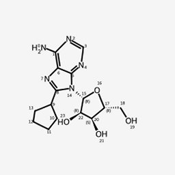 Nc1ncnc2c1nc(C1CCCC1)n2[C@@H]1O[C@H](CO)[C@@H](O)[C@H]1O